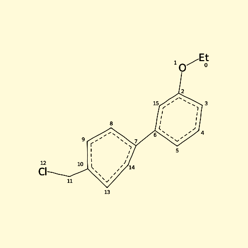 CCOc1cccc(-c2ccc(CCl)cc2)c1